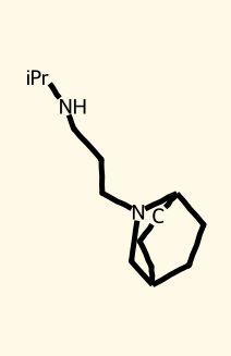 CC(C)NCCCN1CC2CCCC1CC2